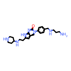 NCCCNCc1ccc(-n2cc3cc(CCNC4CCNCC4)[nH]c3nc2=O)cc1